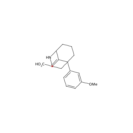 COc1cccc(C23CCCC(NCC2)/C3=C\C(=O)O)c1